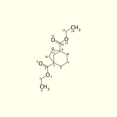 CCOC(=O)C12CCCC(C(=O)OCC)(CC1)C2